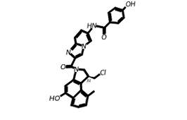 Cc1cccc2c(O)cc3c(c12)[C@H](CCl)CN3C(=O)c1cn2cc(NC(=O)c3ccc(O)cc3)ccc2n1